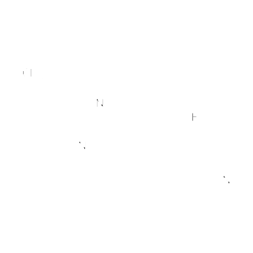 CCc1cnc(-c2ccc(C#N)c(F)c2)nc1